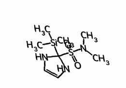 CN(C)S(=O)(=O)C1([Si](C)(C)C)NC=CN1